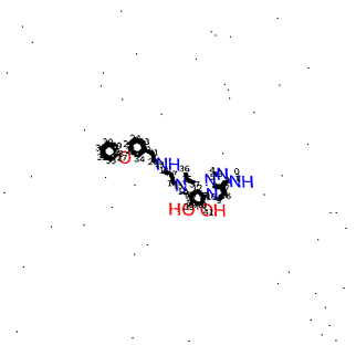 CNc1ncnc2c1ccn2[C@@H]1C[C@H](CN(CCCNCCc2cccc(Oc3ccccc3)c2)C(C)C)[C@@H](O)[C@H]1O